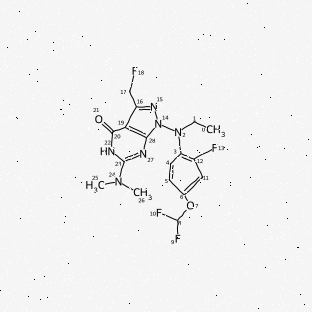 CCN(c1ccc(OC(F)F)cc1F)n1nc(CF)c2c(=O)[nH]c(N(C)C)nc21